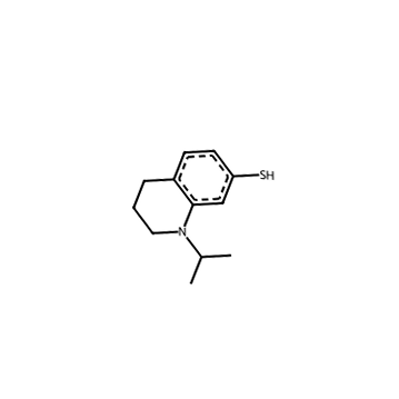 CC(C)N1CCCc2ccc(S)cc21